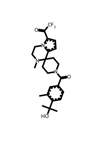 Cc1cc(C(=O)N2CCC3(CC2)c2ccc(C(=O)C(F)(F)F)n2CCN3C)ccc1C(C)(C)O